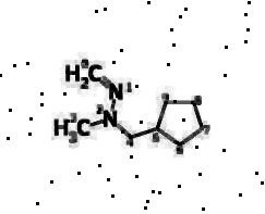 C=NN(C)CC1CCCC1